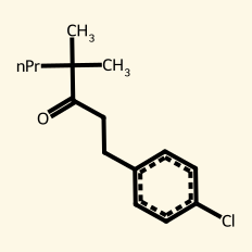 CCCC(C)(C)C(=O)CCc1ccc(Cl)cc1